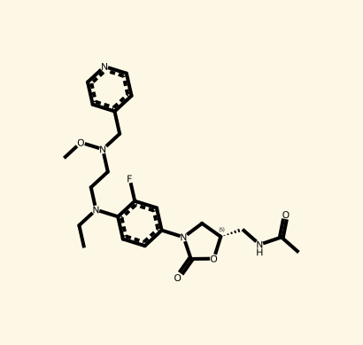 CCN(CCN(Cc1ccncc1)OC)c1ccc(N2C[C@H](CNC(C)=O)OC2=O)cc1F